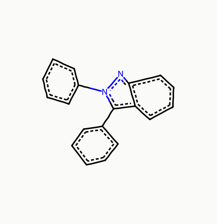 c1ccc(-c2c3ccccc3nn2-c2ccccc2)cc1